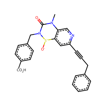 CN1C(=O)N(Cc2ccc(C(=O)O)cc2)[S+]([O-])c2cc(C#CCc3ccccc3)ncc21